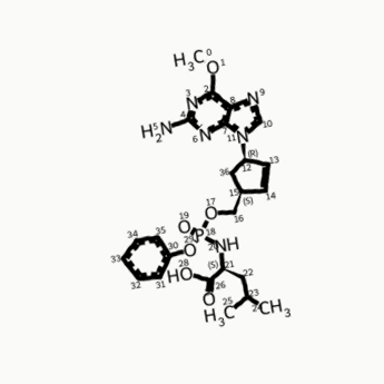 COc1nc(N)nc2c1ncn2[C@H]1C=C[C@@H](COP(=O)(N[C@@H](CC(C)C)C(=O)O)Oc2ccccc2)C1